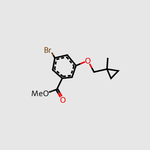 COC(=O)c1cc(Br)cc(OCC2(C)CC2)c1